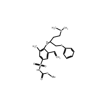 C=Cc1cc(S(=O)(=O)NC(=O)OC(C)(C)C)cc(C)c1NC(CCN(C)C)CSc1ccccc1